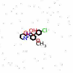 COc1ccc(CC2C3C=CCN2CN(C(O)Cc2ccc(Cl)cc2)O3)cc1